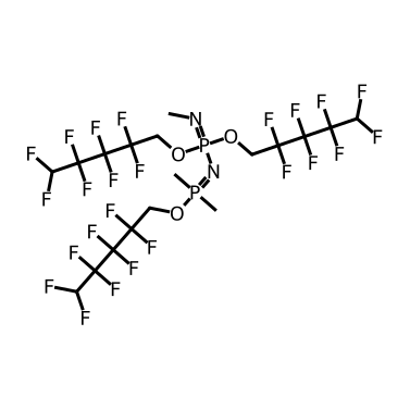 CN=P(N=P(C)(C)OCC(F)(F)C(F)(F)C(F)(F)C(F)F)(OCC(F)(F)C(F)(F)C(F)(F)C(F)F)OCC(F)(F)C(F)(F)C(F)(F)C(F)F